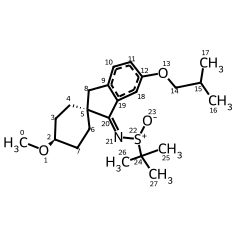 CO[C@H]1CC[C@]2(CC1)Cc1ccc(OCC(C)C)cc1/C2=N\[S+]([O-])C(C)(C)C